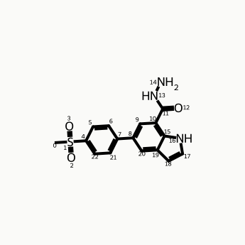 CS(=O)(=O)c1ccc(-c2cc(C(=O)NN)c3[nH]ccc3c2)cc1